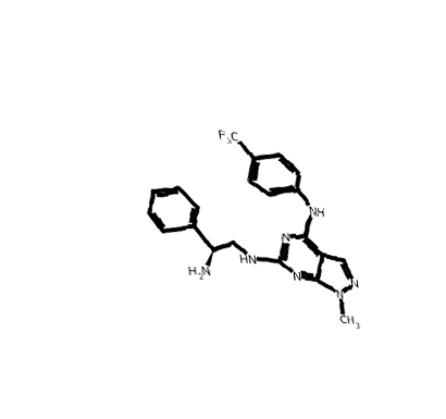 Cn1ncc2c(Nc3ccc(C(F)(F)F)cc3)nc(NC[C@@H](N)c3ccccc3)nc21